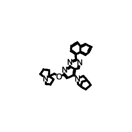 c1ccc2c(-c3ncc4c(N5CC6CCC(C6)C5)cc(OCC56CCCN5CCC6)nc4n3)cccc2c1